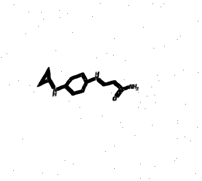 NC(=O)CCNC1CCC(NC2CC2)CC1